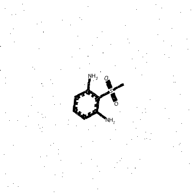 CS(=O)(=O)c1c(N)cccc1N